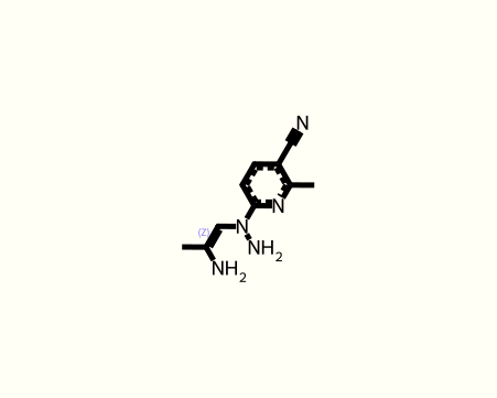 C/C(N)=C/N(N)c1ccc(C#N)c(C)n1